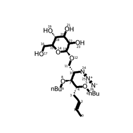 CC=CC[C@@H](OCCCC)[C@@H](OCCCC)[C@H](CO[C@H]1OC(CO)[C@H](O)C(O)C1O)N=[N+]=[N-]